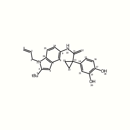 C=CCn1c(C(C)(C)C)cc2cc(NC(=C)C3(c4ccc(O)c(O)c4)CC3)ccc21